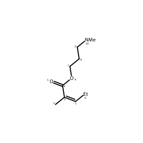 CCC=C(C)C(=O)OCCCNC